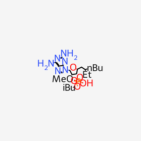 CCCCC(CC)CC1OC(n2cnc3c(N)nc(N)nc32)C(OC)C1OP(=O)(O)OC(C)CC